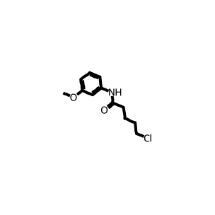 COc1cccc(NC(=O)CCCCCl)c1